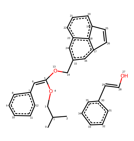 CC(C)COC(=Cc1ccccc1)OCc1cc2c3c(cccc3c1)C=C2.OC=Cc1ccccc1